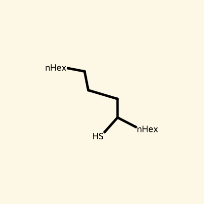 CCCCCCCCCC(S)CCCCCC